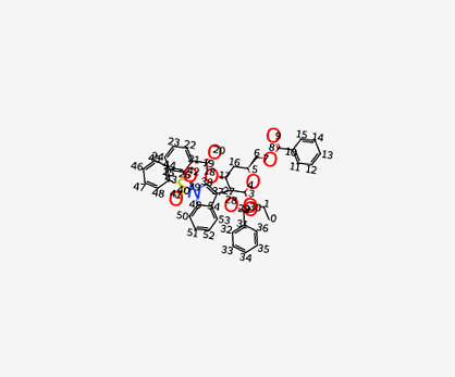 CCO[C@@H]1O[C@H](COC(=O)c2ccccc2)C[C@H](OC(=O)c2ccccc2)[C@]1(OC(=O)c1ccccc1)c1cn(S(=O)(=O)c2ccccc2)c2ccccc12